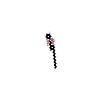 CCCCCCCCCCCCc1ccc(C(=O)C(OC)C(=O)Nc2ccccc2)cc1